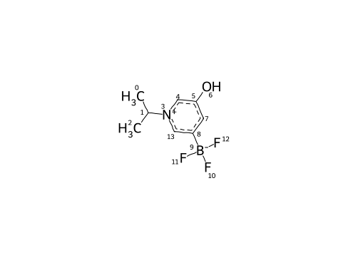 CC(C)[n+]1cc(O)cc([B-](F)(F)F)c1